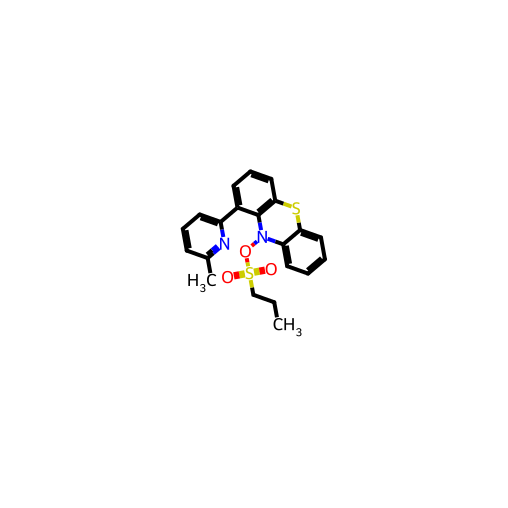 CCCS(=O)(=O)ON1c2ccccc2Sc2cccc(-c3cccc(C)n3)c21